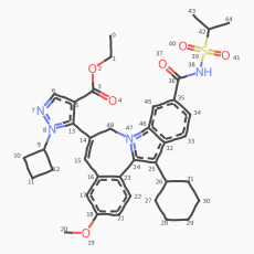 CCOC(=O)c1cnn(C2CCC2)c1C1=Cc2cc(OC)ccc2-c2c(C3CCCCC3)c3ccc(C(=O)NS(=O)(=O)C(C)C)cc3n2C1